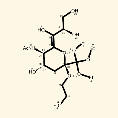 CCOC(OCC)(OCC)[C@]1(OCCC(F)(F)F)C[C@H](O)[C@@H](NC(C)=O)C(=C(O)[C@H](O)CO)O1